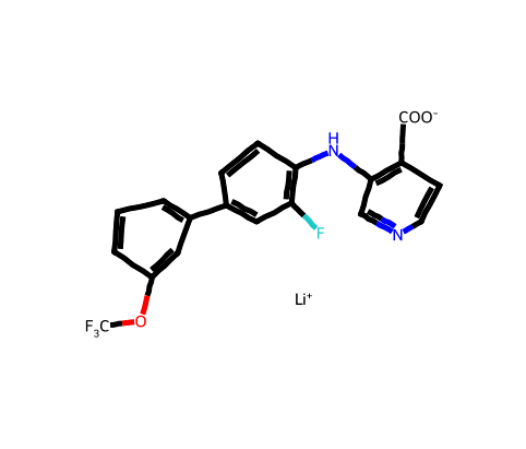 O=C([O-])c1ccncc1Nc1ccc(-c2cccc(OC(F)(F)F)c2)cc1F.[Li+]